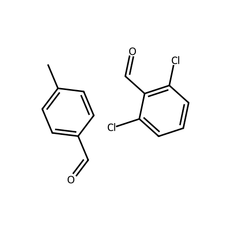 Cc1ccc(C=O)cc1.O=Cc1c(Cl)cccc1Cl